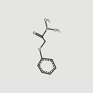 CN(C)C(=O)COc1[c]cccc1